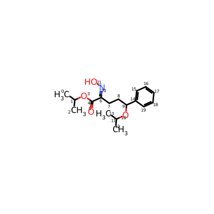 CC(C)OC(=O)C(CCC(OC(C)C)c1ccccc1)=NO